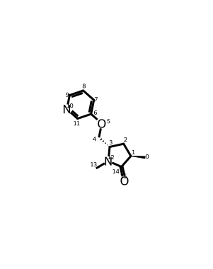 C[C@@H]1C[C@@H](COc2cccnc2)N(C)C1=O